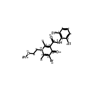 CCc1cccc(CC)c1NC(=O)c1c(C)n(CCOC(C)C)c(C)c(Br)c1=O